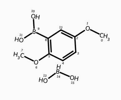 COc1ccc(OC)c(B(O)O)c1.OBO